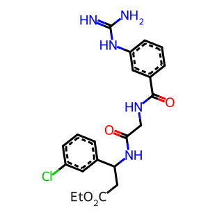 CCOC(=O)CC(NC(=O)CNC(=O)c1cccc(NC(=N)N)c1)c1cccc(Cl)c1